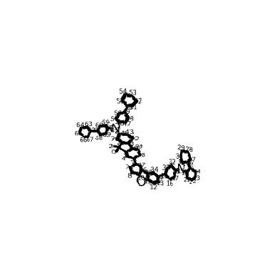 CC1(C)c2cc(-c3ccc4oc5ccc(-c6ccc(-n7c8ccccc8c8ccccc87)cc6)cc5c4c3)ccc2-c2ccc(N(c3ccc(-c4ccccc4)cc3)c3ccc(-c4ccccc4)cc3)cc21